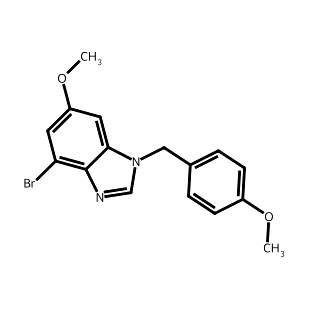 COc1ccc(Cn2cnc3c(Br)cc(OC)cc32)cc1